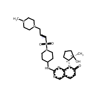 CN1CCN(C/C=C/S(=O)(=O)N2CCC(Nc3ncc4ccc(=O)n([C@@H]5CCC[C@@]5(C)O)c4n3)CC2)CC1